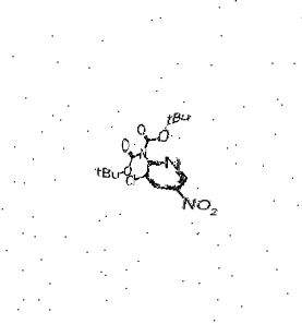 CC(C)(C)OC(=O)N(C(=O)OC(C)(C)C)c1ncc([N+](=O)[O-])cc1Cl